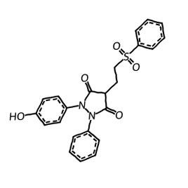 O=C1C(CCS(=O)(=O)c2ccccc2)C(=O)N(c2ccc(O)cc2)N1c1ccccc1